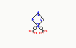 OB(O)c1ccc(-c2c(-c3ccc(B(O)O)cc3)c3cc4nc(cc5ccc(cc6nc(cc2[nH]3)C=C6)[nH]5)C=C4)cc1